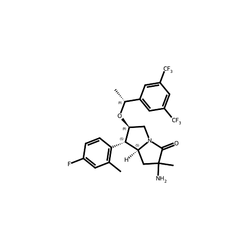 Cc1cc(F)ccc1[C@@H]1[C@@H](O[C@H](C)c2cc(C(F)(F)F)cc(C(F)(F)F)c2)CN2C(=O)C(C)(N)C[C@@H]12